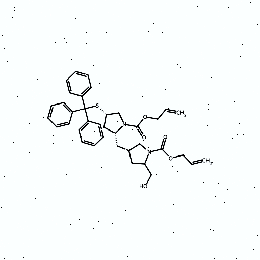 C=CCOC(=O)N1CC(C[C@@H]2C[C@H](SC(c3ccccc3)(c3ccccc3)c3ccccc3)CN2C(=O)OCC=C)CC1CO